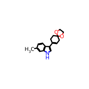 Cc1ccc2c(C3=CCC4(CC3)OCCO4)c[nH]c2c1